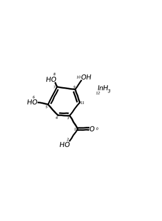 O=C(O)c1cc(O)c(O)c(O)c1.[InH3]